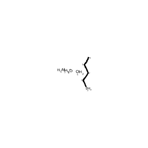 BCCCC.O.O.[AlH3]